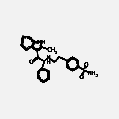 Cc1[nH]c2ccccc2c1C(=O)[C@@H](NCCc1ccc(S(N)(=O)=O)cc1)c1ccccc1